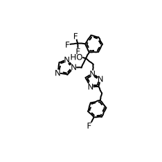 OC(Cn1cncn1)(Cn1cnc(Cc2ccc(F)cc2)n1)c1ccccc1C(F)(F)F